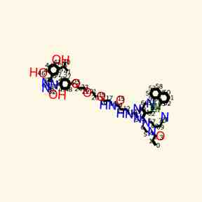 C=CC(=O)N1CCN(c2nc(NCCC(=O)NCCOCCOCCOc3ccc(-n4c(O)nnc4-c4cc(C(C)C)c(O)cc4O)cc3)nc3c2CCN(c2cccc4cccc(Cl)c24)C3)CC1CC#N